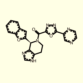 O=C(c1nnc(-c2cnccn2)o1)N1CCc2[nH]cnc2[C@H]1c1cc2ccccc2o1